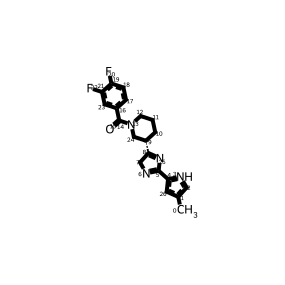 Cc1c[nH]c(C2=NCC([C@H]3CCCN(C(=O)c4ccc(F)c(F)c4)C3)=N2)c1